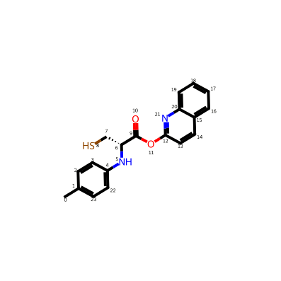 Cc1ccc(N[C@H](CS)C(=O)Oc2ccc3ccccc3n2)cc1